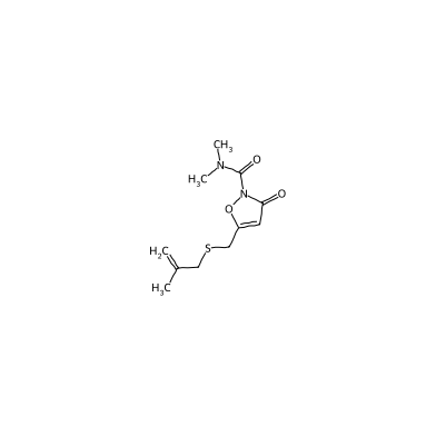 C=C(C)CSCc1cc(=O)n(C(=O)N(C)C)o1